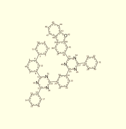 c1ccc(-c2cccc(-c3nc(-c4ccccc4)nc(-c4cccc(-c5nc(-c6ccccc6)nc(-c6ccc7c(c6)oc6ccccc67)n5)c4)n3)c2)cc1